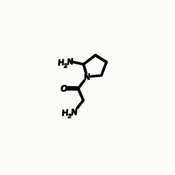 NCC(=O)N1CCCC1N